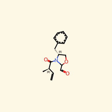 C=C[C@@H](C)C(=O)N1C(C=O)OC[C@H]1Cc1ccccc1